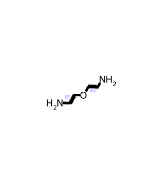 N/C=C/O/C=C/N